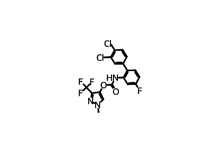 Cn1cc(OC(=O)Nc2cc(F)ccc2-c2ccc(Cl)c(Cl)c2)c(C(F)(F)F)n1